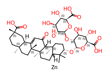 CC1(C)[C@@H](O[C@H]2O[C@H](C(=O)O)[C@@H](O)[C@H](O)[C@H]2O[C@@H]2O[C@H](C(=O)O)[C@@H](O)[C@H](O)[C@H]2O)CC[C@]2(C)[C@H]3C(=O)C=C4[C@@H]5C[C@@](C)(C(=O)O)CC[C@]5(C)CC[C@@]4(C)[C@]3(C)CC[C@@H]12.[Zn]